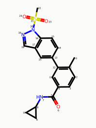 Cc1ccc(C(=O)NC2CC2)cc1-c1ccc2c(cnn2S(C)(=O)=O)c1